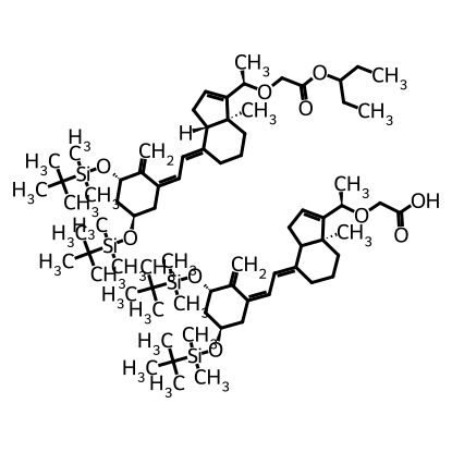 C=C1C(=CC=C2CCC[C@]3(C)C([C@@H](C)OCC(=O)O)=CCC23)C[C@@H](O[Si](C)(C)C(C)(C)C)C[C@@H]1O[Si](C)(C)C(C)(C)C.C=C1C(=CC=C2CCC[C@]3(C)C([C@@H](C)OCC(=O)OC(CC)CC)=CC[C@@H]23)C[C@@H](O[Si](C)(C)C(C)(C)C)C[C@@H]1O[Si](C)(C)C(C)(C)C